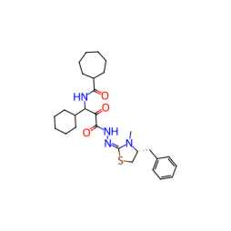 CN1C(=NNC(=O)C(=O)C(NC(=O)C2CCCCCC2)C2CCCCC2)SC[C@H]1Cc1ccccc1